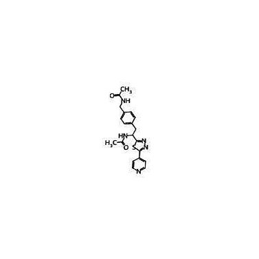 CC(=O)NCc1ccc(CC(NC(C)=O)c2nnc(-c3ccncc3)s2)cc1